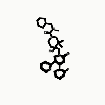 C[C@H](CC1CCCCC1)C(=O)N1CCC(O)(Cn2cc(-c3ccccn3)c(-c3ccccc3F)cc2=O)C(C)(C)C1